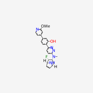 COc1cc(-c2ccc(-c3ccc(N(C)[C@@H]4C[C@H]5C=C[C@H](N5)[C@@H]4F)nn3)c(O)c2)ccn1